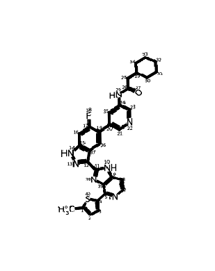 Cc1ccc(-c2nccc3[nH]c(-c4n[nH]c5cc(F)c(-c6cncc(NC(=O)CC7CCCCC7)c6)cc45)nc23)s1